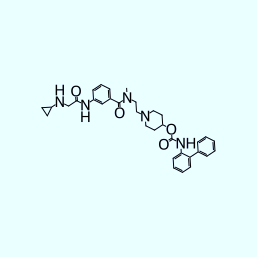 CN(CCN1CCC(OC(=O)Nc2ccccc2-c2ccccc2)CC1)C(=O)c1cccc(NC(=O)CNC2CC2)c1